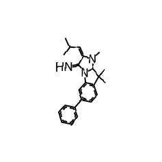 CC(C)/C=C1\C(=N)N2c3cc(-c4ccccc4)ccc3C(C)(C)C2N1C